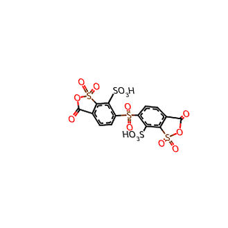 O=C1OS(=O)(=O)c2c1ccc(S(=O)(=O)c1ccc3c(c1S(=O)(=O)O)S(=O)(=O)OC3=O)c2S(=O)(=O)O